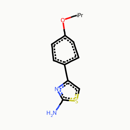 CC(C)Oc1ccc(-c2csc(N)n2)cc1